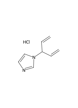 C=CC(C=C)n1ccnc1.Cl